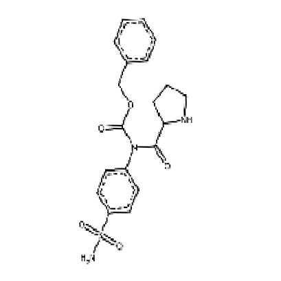 NS(=O)(=O)c1ccc(N(C(=O)OCc2ccccc2)C(=O)C2CCCN2)cc1